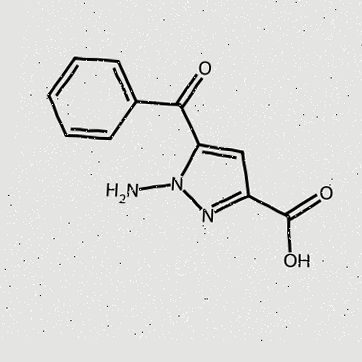 Nn1nc(C(=O)O)cc1C(=O)c1ccccc1